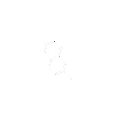 [SiH3]c1[c]c2ccccc2cc1